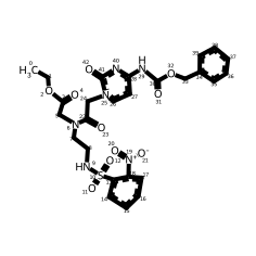 CCOC(=O)CN(CCNS(=O)(=O)c1ccccc1[N+](=O)[O-])C(=O)Cn1ccc(NC(=O)OCc2ccccc2)nc1=O